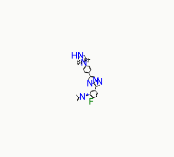 C=C(C)[N+]#Cc1cc(-c2cnn3cc(-c4ccc(N5[C@H](C)CNC[C@@H]5C)cc4)cnc23)ccc1F